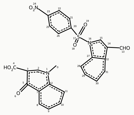 Cn1cc(C(=O)O)c(=O)c2ccccc21.O=Cc1cn(S(=O)(=O)c2ccc([N+](=O)[O-])cc2)c2ccccc12